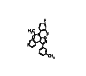 CC(=O)N(c1ccc(F)cc1F)c1onc(-c2cccc(C)c2)c1-c1ccncn1